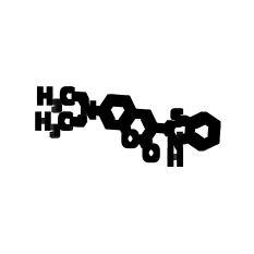 CCN(CC)c1ccc2cc(C3Nc4ccccc4S3)c(=O)oc2c1